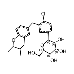 CC1Cc2cc(Cc3cc([C@@H]4O[C@H](CO)[C@@H](O)[C@H](O)[C@H]4O)ccc3Cl)ccc2OC1C